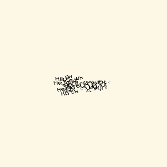 CC1CCC2(OC1)OC1CC3C4CC=C5CC(OC6OC(CO)C(OC7OC(CO)C(O)C7O)C(O)C6OC6OC(C)C(O)C(O)C6O)CCC5(C)C4CCC3(C)C1(O)C2C